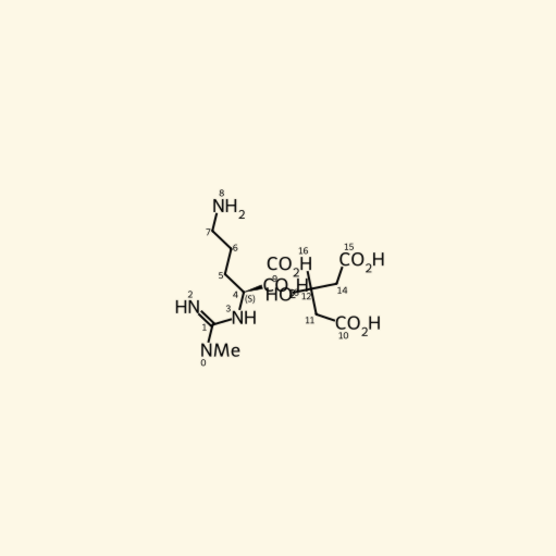 CNC(=N)N[C@@H](CCCN)C(=O)O.O=C(O)CC(O)(CC(=O)O)C(=O)O